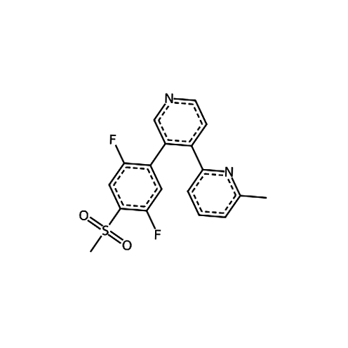 Cc1cccc(-c2ccncc2-c2cc(F)c(S(C)(=O)=O)cc2F)n1